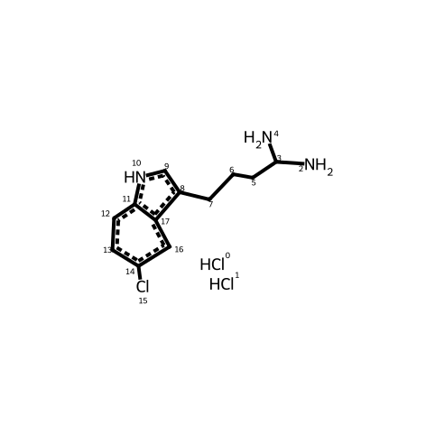 Cl.Cl.NC(N)CCCc1c[nH]c2ccc(Cl)cc12